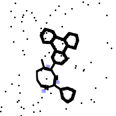 C/C1=C(c2ccc3c4ccccc4c4ccccc4c3c2)/N=C(c2ccccc2)\N=C/CC1